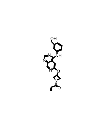 C=CC(=O)N1CC(Oc2cc3c(Nc4cccc(CO)c4)ncnc3cn2)C1